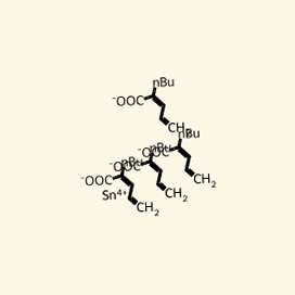 C=CC=C(CCCC)C(=O)[O-].C=CC=C(CCCC)C(=O)[O-].C=CC=C(CCCC)C(=O)[O-].C=CC=C(CCCC)C(=O)[O-].[Sn+4]